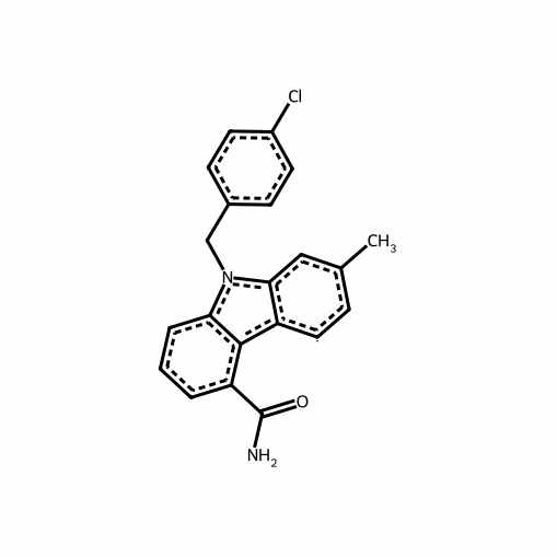 Cc1c[c]c2c3c(C(N)=O)cccc3n(Cc3ccc(Cl)cc3)c2c1